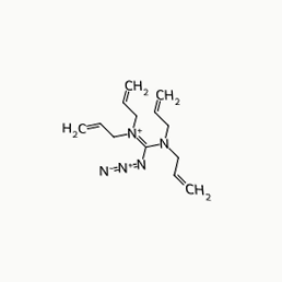 C=CCN(CC=C)C(N=[N+]=[N-])=[N+](CC=C)CC=C